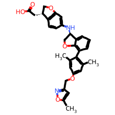 Cc1cc(COc2cc(C)c(-c3cccc4c3OC[C@H]4Nc3ccc4c(c3)OC[C@H]4CC(=O)O)c(C)c2)no1